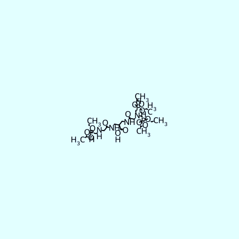 CCO[PH]1(CNCC(=O)NCC(CNC(=O)CN(C[PH]2(OCC)OC(C)O2)C[PH]2(OCC)OC(C)O2)C(=O)O)OC(C)O1